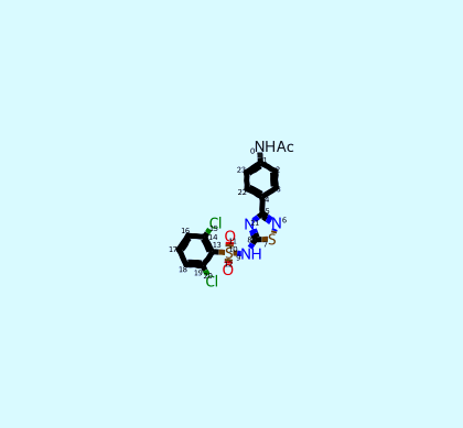 CC(=O)Nc1ccc(-c2nsc(NS(=O)(=O)c3c(Cl)cccc3Cl)n2)cc1